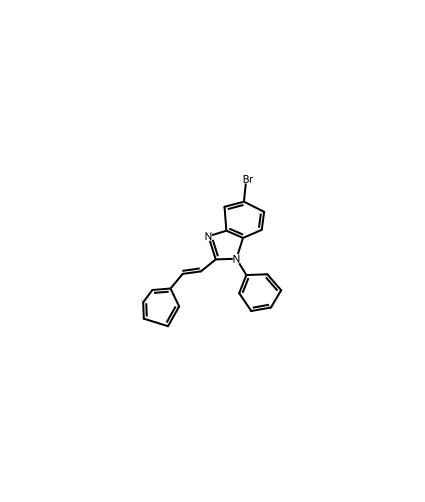 Brc1ccc2c(c1)nc(C=Cc1ccccc1)n2-c1ccccc1